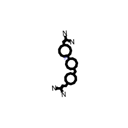 N#CC(C#N)=CCC1CCCCC(CC2CCCCC(/C3=C/CCCCC(C=C(C#N)C#N)CCCC3)CCCC2)CCCC1